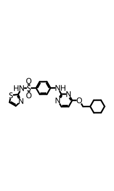 O=S(=O)(Nc1nccs1)c1ccc(Nc2nccc(OCC3CCCCC3)n2)cc1